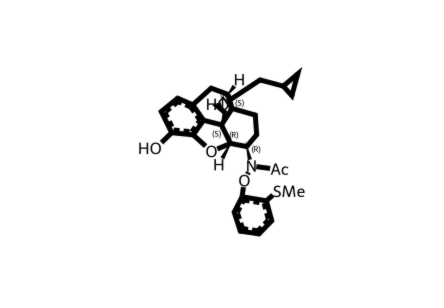 CSc1ccccc1ON(C(C)=O)[C@@H]1CC[C@@]2(O)[C@H]3Cc4ccc(O)c5c4[C@@]2(CCN3CC2CC2)[C@H]1O5